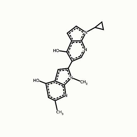 Cc1cc(O)c2cc(-c3cnc4c(ccn4C4CC4)c3O)n(C)c2n1